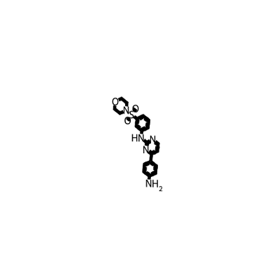 Nc1ccc(-c2ccnc(Nc3cccc(S(=O)(=O)N4CCOCC4)c3)n2)cc1